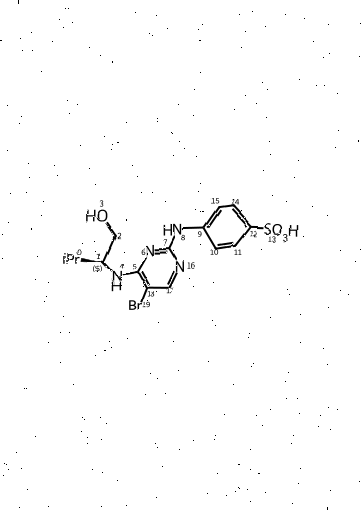 CC(C)[C@@H](CO)Nc1nc(Nc2ccc(S(=O)(=O)O)cc2)ncc1Br